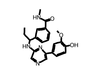 CCC(Nc1cncc(-c2ccc(O)c(OC)c2)n1)c1cccc(C(=O)NC)c1